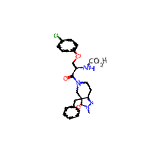 CN1N=C2CCN(C(=O)C(COc3ccc(Cl)cc3)NC(=O)O)CC2(Cc2ccccc2)C1=O